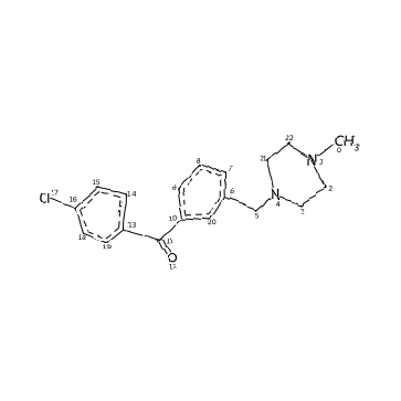 CN1CCN(Cc2cccc(C(=O)c3ccc(Cl)cc3)c2)CC1